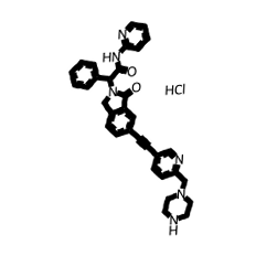 Cl.O=C(Nc1ccccn1)C(c1ccccc1)N1Cc2ccc(C#Cc3ccc(CN4CCNCC4)nc3)cc2C1=O